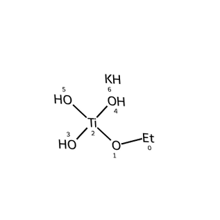 CC[O][Ti]([OH])([OH])[OH].[KH]